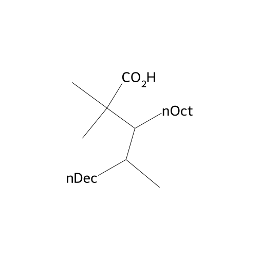 CCCCCCCCCCC(C)C(CCCCCCCC)C(C)(C)C(=O)O